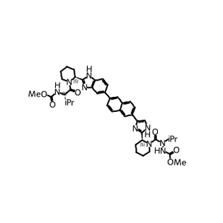 COC(=O)N[C@H](C(=O)N1CCCC[C@H]1c1nc2cc(-c3ccc4cc(-c5c[nH]c([C@@H]6CCCCN6C(=O)N(NC(=O)OC)C(C)C)n5)ccc4c3)ccc2[nH]1)C(C)C